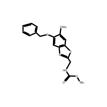 COc1cc2sc(CNC(=O)OC(C)(C)C)nc2cc1SCc1ccccc1